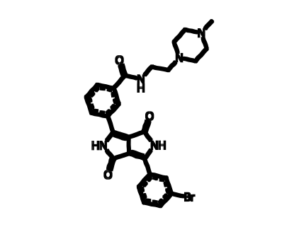 CN1CCN(CCNC(=O)c2cccc(C3=C4C(=O)NC(c5cccc(Br)c5)=C4C(=O)N3)c2)CC1